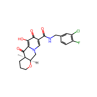 C[C@@]12CCCO[C@@H]1Cn1cc(C(=O)NCc3ccc(F)c(Cl)c3)c(=O)c(O)c1C2=O